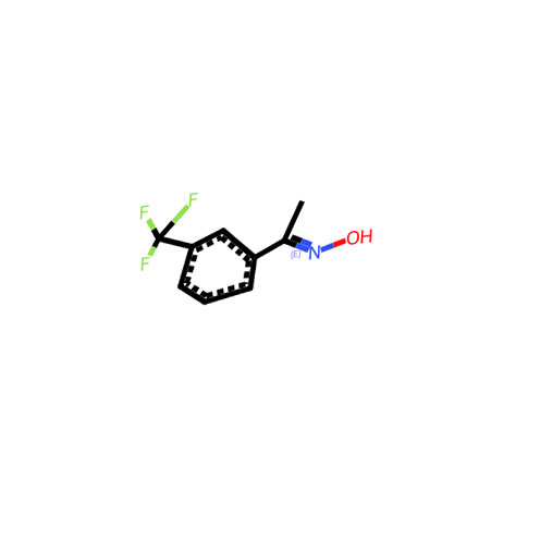 C/C(=N\O)c1cccc(C(F)(F)F)c1